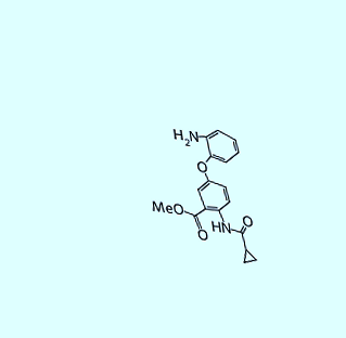 COC(=O)c1cc(Oc2ccccc2N)ccc1NC(=O)C1CC1